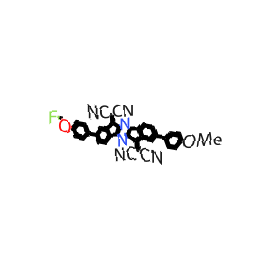 COc1ccc(-c2ccc3c(c2)C(=C(C#N)C#N)c2nc4c(nc2-3)C(=C(C#N)C#N)c2cc(-c3ccc(OCF)cc3)ccc2-4)cc1